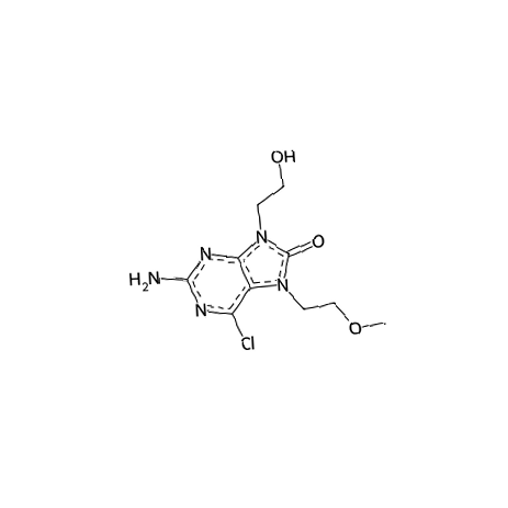 COCCn1c(=O)n(CCO)c2nc(N)nc(Cl)c21